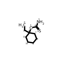 CCC1(OC(N)=S)CCCCC1